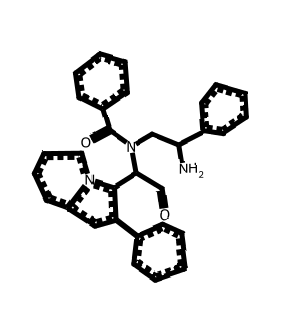 NC(CN(C(=O)c1ccccc1)C(C=O)c1c(-c2ccccc2)cc2ccccn12)c1ccccc1